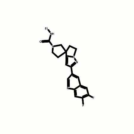 CCNC(=O)N1CCC2(CCn3nc(-c4cnc5cc(F)c(F)cc5c4)cc32)C1